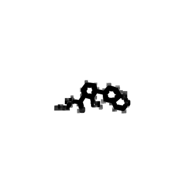 CCCCCCNC(=O)c1cccc(-c2ccc3c(c2)C=COO3)c1C